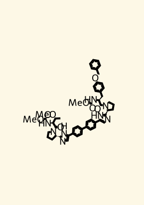 COC(=O)N[C@@H](Cc1ccc(OCc2ccccc2)cc1)C(=O)N1CCC[C@H]1c1ncc(-c2ccc(-c3ccc(-c4cnc([C@@H]5CCCN5C(=O)[C@@H](NC(=O)OC)[C@@H](C)OC)[nH]4)cc3)cc2)[nH]1